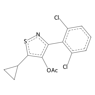 CC(=O)Oc1c(-c2c(Cl)cccc2Cl)nsc1C1CC1